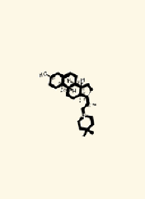 C[C@H](CN1CCC(C)(C)CC1)[C@H]1CC[C@H]2[C@@H]3CC=C4C[C@@H](O)CC[C@]4(C)[C@H]3CC[C@]12C